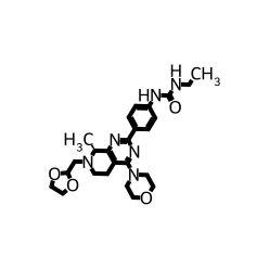 CCNC(=O)Nc1ccc(-c2nc3c(c(N4CCOCC4)n2)CCN(CC2OCCO2)[C@@H]3C)cc1